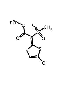 CCCOC(=O)/C(=C1\SC=C(O)S1)S(C)(=O)=O